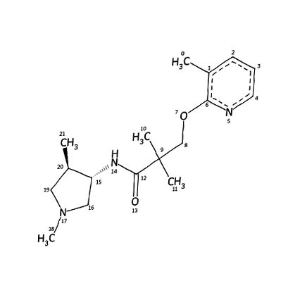 Cc1cccnc1OCC(C)(C)C(=O)N[C@@H]1CN(C)C[C@H]1C